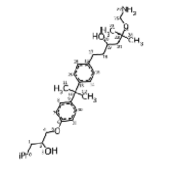 CC(C)CC(O)COc1ccc(C(C)(C)c2ccc(CCC(O)CC(C)(C)OCN)cc2)cc1